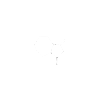 C=C1CC(=C)N2CCCCCN12